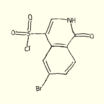 O=c1[nH]cc(S(=O)(=O)Cl)c2cc(Br)ccc12